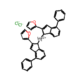 C1=C(c2ccco2)[CH]([Hf+2][CH]2C(c3ccco3)=Cc3c(-c4ccccc4)cccc32)c2cccc(-c3ccccc3)c21.[Cl-].[Cl-]